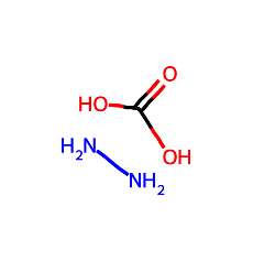 NN.O=C(O)O